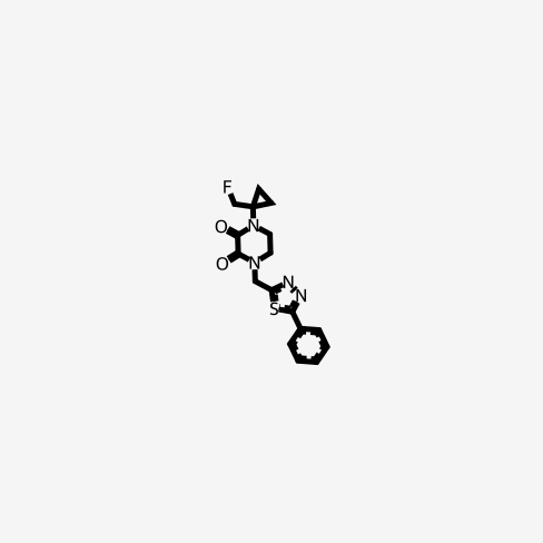 O=C1C(=O)N(C2(CF)CC2)CCN1Cc1nnc(-c2ccccc2)s1